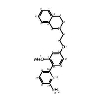 COc1cc(OCCN2CCc3ccccc3C2)ccc1-c1cccc(N)n1